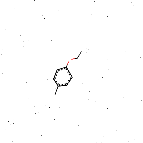 COCOc1ccc(C)cc1